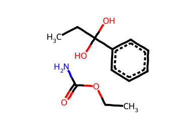 CCC(O)(O)c1ccccc1.CCOC(N)=O